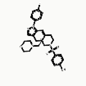 N#Cc1ccc(S(=O)(=O)N2CCC3=Cc4c(cnn4-c4ccc(F)cc4)C[C@@]3(CN3CCOCC3)C2)cc1